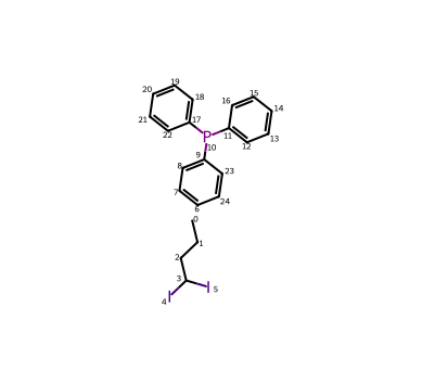 CCCC(I)I.c1ccc(P(c2ccccc2)c2ccccc2)cc1